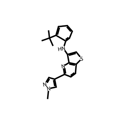 Cn1cc(-c2ccc3scc(Nc4ccccc4C(C)(C)C)c3n2)cn1